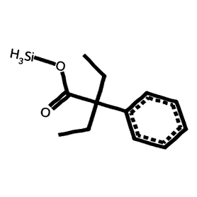 CCC(CC)(C(=O)O[SiH3])c1ccccc1